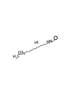 CC(C)CCCCCCCCCCCCCCCCCNCc1ccccc1.I